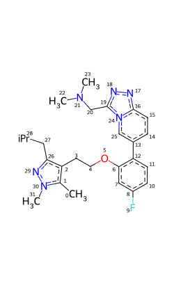 Cc1c(CCOc2cc(F)ccc2-c2ccc3nnc(CN(C)C)n3c2)c(CC(C)C)nn1C